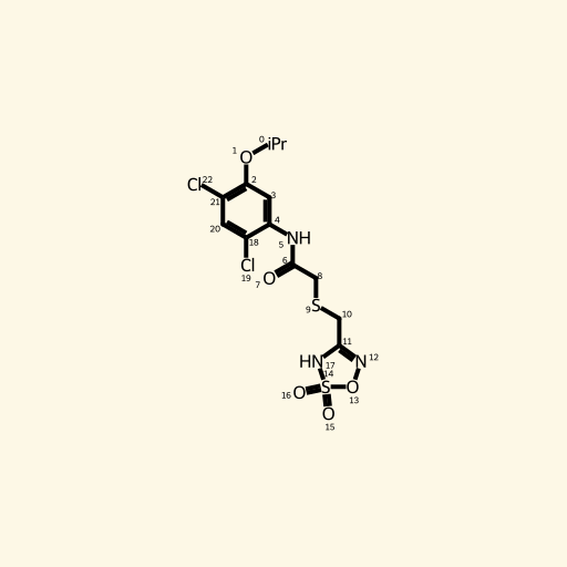 CC(C)Oc1cc(NC(=O)CSCC2=NOS(=O)(=O)N2)c(Cl)cc1Cl